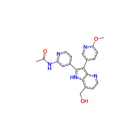 COc1ccc(-c2c(-c3ccnc(NC(C)=O)c3)[nH]c3c(CO)ccnc23)cn1